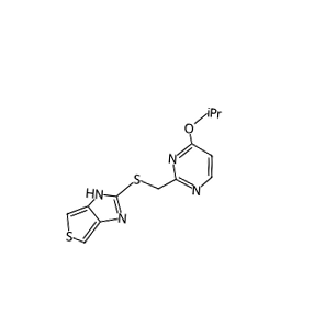 CC(C)Oc1ccnc(CSc2nc3cscc3[nH]2)n1